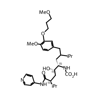 COCCCOc1cc(CC(C[C@H](NC(=O)O)[C@@H](O)C[C@H](C(=O)Nc2ccncc2)C(C)C)C(C)C)ccc1OC